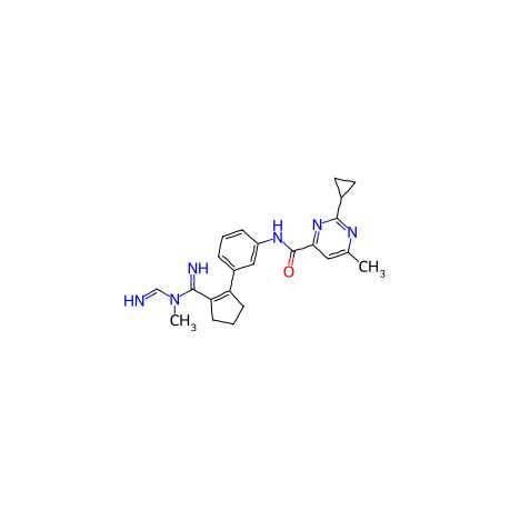 Cc1cc(C(=O)Nc2cccc(C3=C(C(=N)N(C)C=N)CCC3)c2)nc(C2CC2)n1